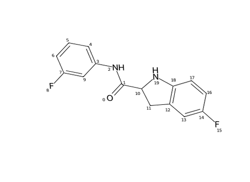 O=C(Nc1cccc(F)c1)C1Cc2cc(F)ccc2N1